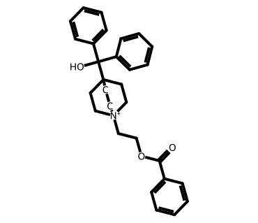 O=C(OCC[N+]12CCC(C(O)(c3ccccc3)c3ccccc3)(CC1)CC2)c1ccccc1